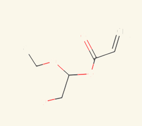 C=CC(=O)OC(C[O])OCC